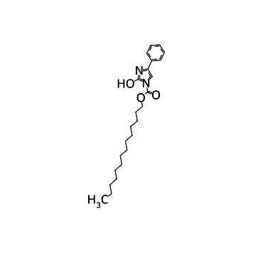 CCCCCCCCCCCCCCOC(=O)n1cc(-c2ccccc2)nc1O